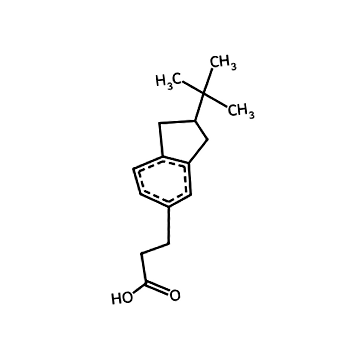 CC(C)(C)C1Cc2ccc(CCC(=O)O)cc2C1